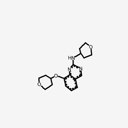 c1cc(OC2CCOCC2)c2nc(NC3CCOCC3)ncc2c1